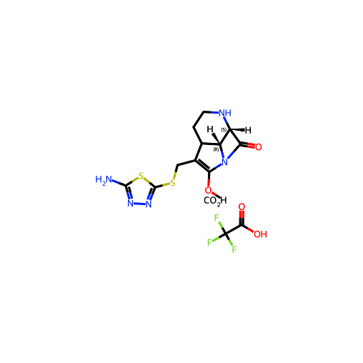 Nc1nnc(SCC2=C(OC(=O)O)N3C(=O)[C@H]4NCCC2[C@H]43)s1.O=C(O)C(F)(F)F